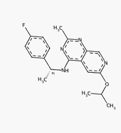 Cc1nc(N[C@H](C)c2ccc(F)cc2)c2cc(OC(C)C)ncc2n1